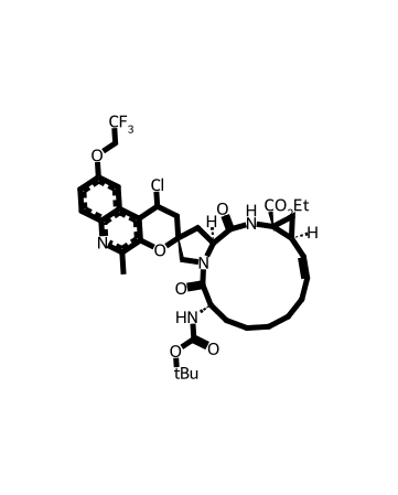 CCOC(=O)[C@@]12C[C@H]1/C=C\CCCCC[C@H](NC(=O)OC(C)(C)C)C(=O)N1C[C@@]3(CC(Cl)c4c(c(C)nc5ccc(OCC(F)(F)F)cc45)O3)C[C@H]1C(=O)N2